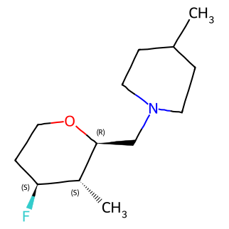 CC1CCN(C[C@@H]2OCC[C@H](F)[C@H]2C)CC1